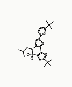 CC(C)CN1c2cc(-c3ccc(C(C)(C)C)s3)sc2-c2sc(C(C)(C)C)cc2S1(=O)=O